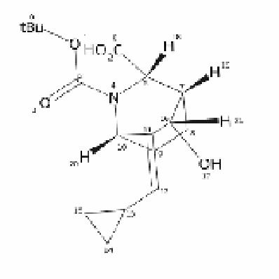 CC(C)(C)OC(=O)N1[C@H](C(=O)O)[C@@H]2CC[C@H]1/C(=C\C1CC1)[C@H]2O